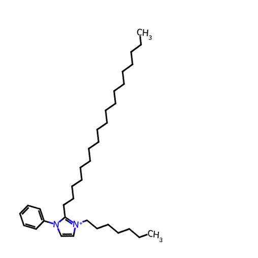 CCCCCCCCCCCCCCCCCCCc1n(-c2ccccc2)cc[n+]1CCCCCCC